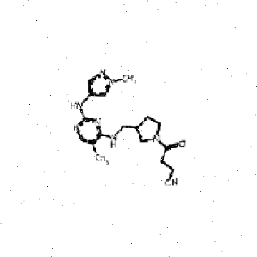 Cc1cnc(Nc2cnn(C)c2)nc1NCC1CCN(C(=O)CCC#N)C1